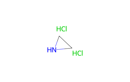 C1CN1.Cl.Cl